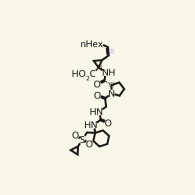 CCCCCC/C=C\C1C[C@]1(NC(=O)[C@@H]1CCCN1C(=O)CNC(=O)NC1(CS(=O)(=O)C2CC2)CCCCC1)C(=O)O